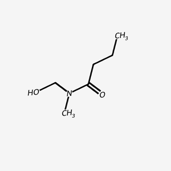 CCCC(=O)N(C)CO